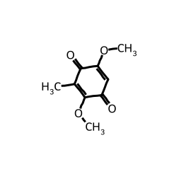 COC1=CC(=O)C(OC)=C(C)C1=O